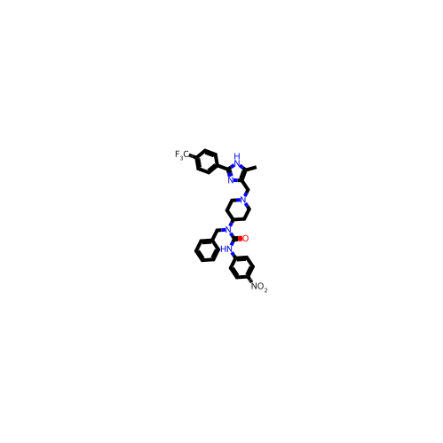 Cc1[nH]c(-c2ccc(C(F)(F)F)cc2)nc1CN1CCC(N(Cc2ccccc2)C(=O)Nc2ccc([N+](=O)[O-])cc2)CC1